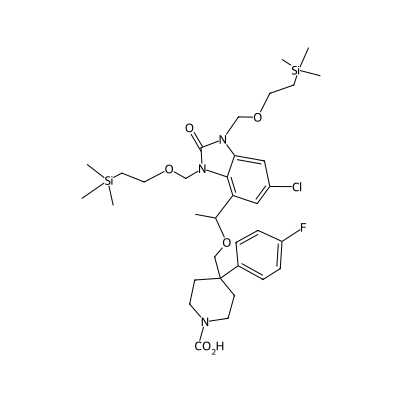 CC(OCC1(c2ccc(F)cc2)CCN(C(=O)O)CC1)c1cc(Cl)cc2c1n(COCC[Si](C)(C)C)c(=O)n2COCC[Si](C)(C)C